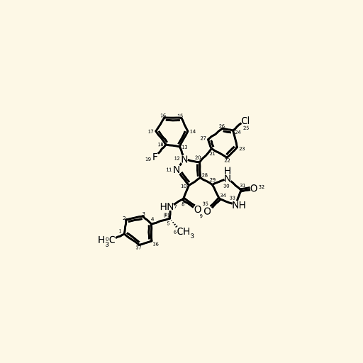 Cc1ccc([C@@H](C)NC(=O)c2nn(-c3ccccc3F)c(-c3ccc(Cl)cc3)c2C2NC(=O)NC2=O)cc1